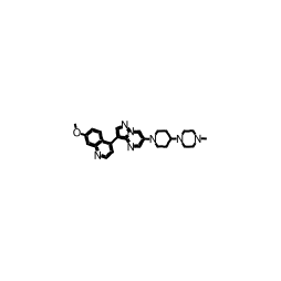 COc1ccc2c(-c3cnn4cc(N5CCC(N6CCN(C)CC6)CC5)cnc34)ccnc2c1